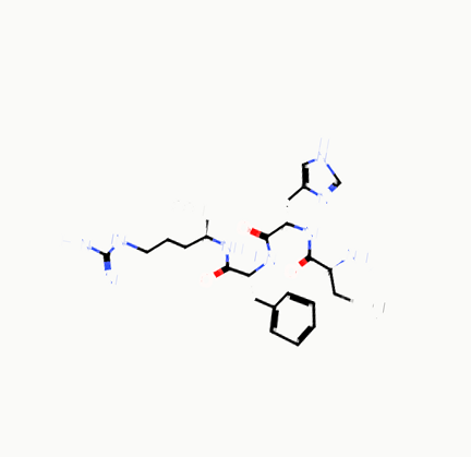 N=C(N)NCCC[C@H](NC(=O)[C@@H](Cc1ccccc1)NC(=O)[C@H](Cc1c[nH]cn1)NC(=O)[C@@H](N)CC(=O)O)C(=O)O